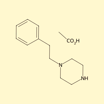 CC(=O)O.c1ccc(CCN2CCNCC2)cc1